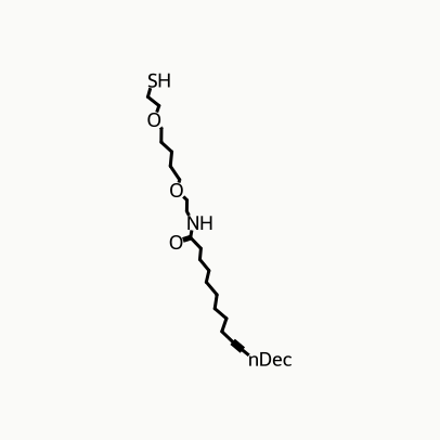 CCCCCCCCCCC#CCCCCCCCCC(=O)NCCOCCCCCOCCS